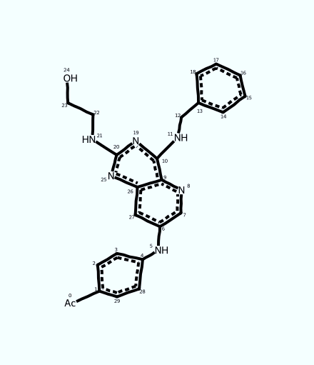 CC(=O)c1ccc(Nc2cnc3c(NCc4ccccc4)nc(NCCO)nc3c2)cc1